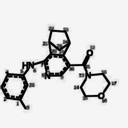 Cc1cccc(Nc2ncc(C(=O)N3CCOCC3)c3c2C2CCC3C2)c1